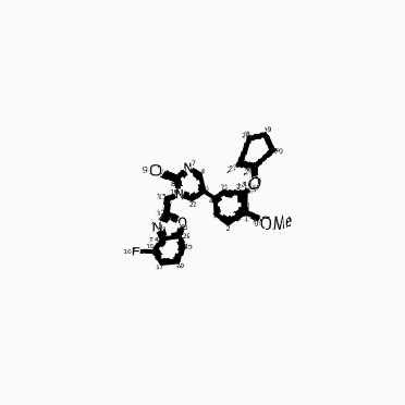 COc1ccc(-c2cnc(=O)n(Cc3nc4c(F)cccc4o3)c2)cc1OC1CCCC1